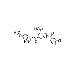 COc1ccc2c(CC(=O)N3CC4CN(C(=O)c5ccc(Cl)c(Cl)c5)CC4C(C(=O)O)C3)c[nH]c2c1